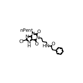 CCCCCn1c(=O)n(CCCNC(=O)Cc2ccccc2)c(=O)c2[nH]c(Cl)nc21